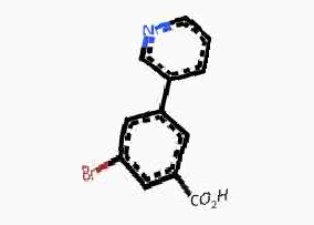 O=C(O)c1cc(Br)cc(-c2cccnc2)c1